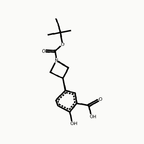 CC(C)(C)OC(=O)N1CC(c2ccc(O)c(C(=O)O)c2)C1